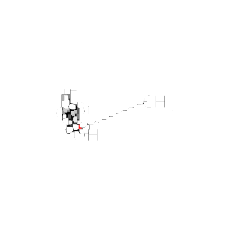 CCCCCCCCCCCCCCCCCCOc1cc(N=Nc2c(Br)cc(C(F)(F)F)cc2[N+](=O)[O-])c2ccccc2c1O